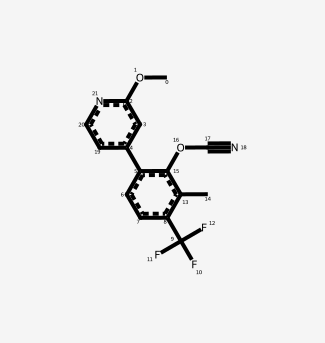 COc1cc(-c2ccc(C(F)(F)F)c(C)c2OC#N)ccn1